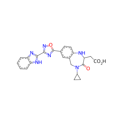 O=C(O)CC1Nc2ccc(-c3nc(-c4nc5ccccc5[nH]4)no3)cc2CN(C2CC2)C1=O